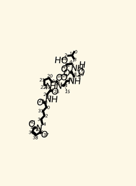 CC(C)C[C@H](NC(=O)[C@H](CO)NC(=O)[C@H](C)NC(=O)[C@@H]1CCCN1C(=O)CNC(=O)CCCCCN1C(=O)C=CC1=O)C(=O)O